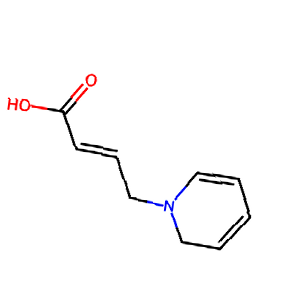 O=C(O)C=CCN1C=CC=CC1